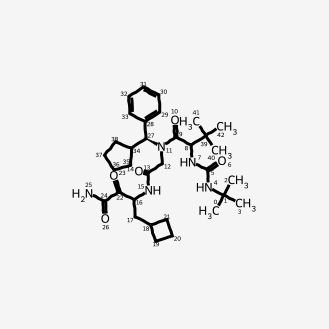 CC(C)(C)NC(=O)NC(C(=O)N(CC(=O)NC(CC1CCC1)C(=O)C(N)=O)[C@H](c1ccccc1)C1CCCC1)C(C)(C)C